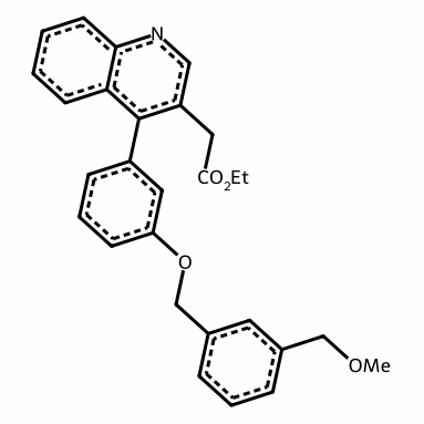 CCOC(=O)Cc1cnc2ccccc2c1-c1cccc(OCc2cccc(COC)c2)c1